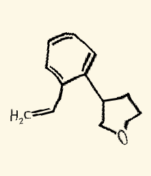 C=Cc1ccccc1C1CCOC1